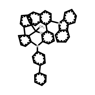 CC1(C)c2ccccc2-c2cccc(N(c3ccc(-c4ccccc4)cc3)c3cccc(-c4c(-n5c6ccccc6c6ccccc65)ccc5ccccc45)c3)c21